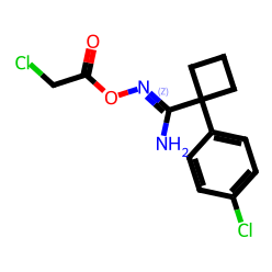 N/C(=N\OC(=O)CCl)C1(c2ccc(Cl)cc2)CCC1